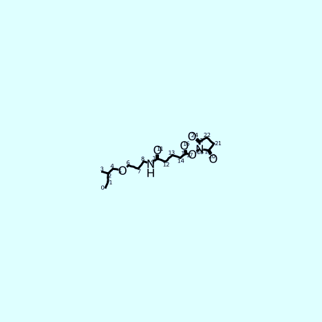 CCC(C)COCCCNC(=O)CCCC(=O)ON1C(=O)CCC1=O